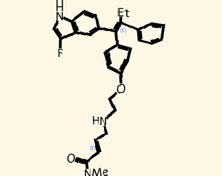 CC/C(=C(/c1ccc(OCCNC/C=C/C(=O)NC)cc1)c1ccc2[nH]cc(F)c2c1)c1ccccc1